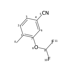 Cc1ccc(C#N)cc1OC(F)F